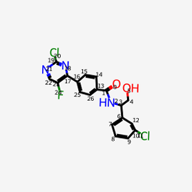 O=C(NC(CO)c1cccc(Cl)c1)c1ccc(-c2nc(Cl)ncc2F)cc1